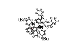 CC(C)(C)c1ccc(Nc2cc3sc4ccccc4c3cc2-c2c3c(cc4c2oc2ccccc24)N(c2ccc(C(C)(C)C)cc2-c2ccccc2)c2sc4ccccc4c2B3)cc1